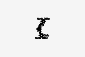 COc1ccc(C(=O)/C=C\Nc2cccc(/C=C/c3cc(OC)c(OC)c(OC)c3)c2)cc1OC